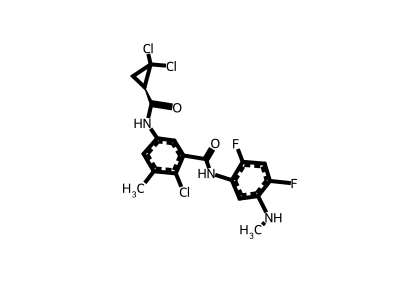 CNc1cc(NC(=O)c2cc(NC(=O)[C@H]3CC3(Cl)Cl)cc(C)c2Cl)c(F)cc1F